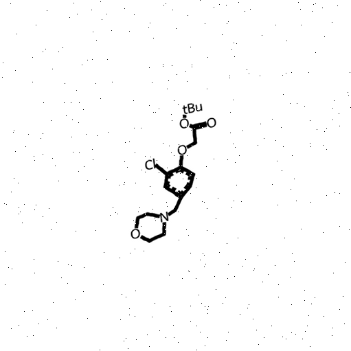 CC(C)(C)OC(=O)COc1ccc(CN2CCOCC2)cc1Cl